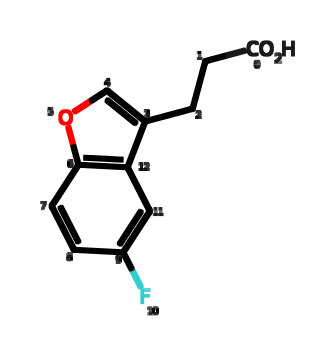 O=C(O)CCc1coc2ccc(F)cc12